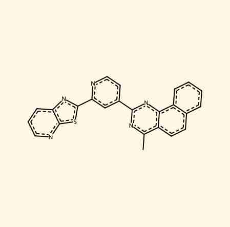 Cc1nc(-c2ccnc(-c3nc4cccnc4s3)c2)nc2c1ccc1ccccc12